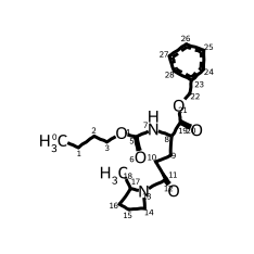 CCCCOC(=O)NC(CCC(=O)N1CCCC1C)C(=O)OCc1ccccc1